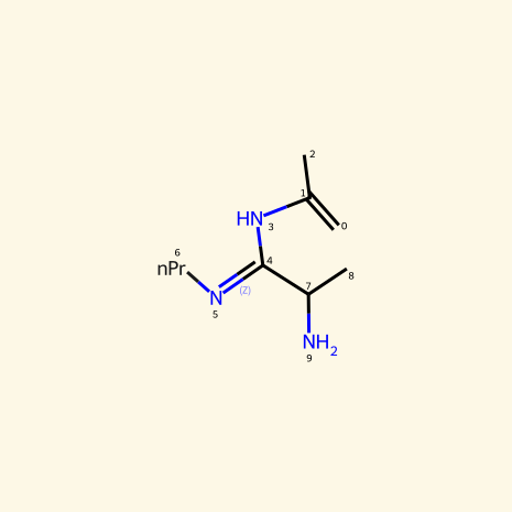 C=C(C)N/C(=N\CCC)C(C)N